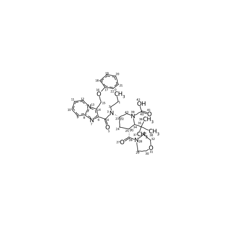 CCCN(C(=O)c1nc2ccccn2c1COc1ccccc1)[C@H]1C[C@@H](C(=O)N2CCOCC2)C(C(C)(C)C)N(C(=O)O)C1